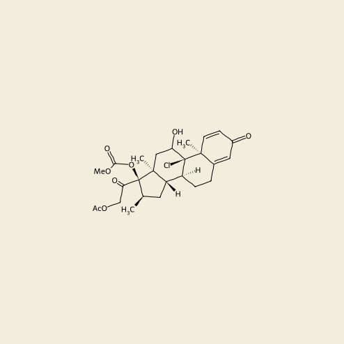 COC(=O)O[C@]1(C(=O)COC(C)=O)[C@H](C)C[C@H]2[C@@H]3CCC4=CC(=O)C=C[C@]4(C)[C@@]3(Cl)C(O)C[C@@]21C